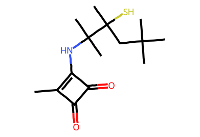 Cc1c(NC(C)(C)C(C)(S)CC(C)(C)C)c(=O)c1=O